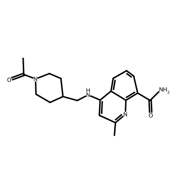 CC(=O)N1CCC(CNc2cc(C)nc3c(C(N)=O)cccc23)CC1